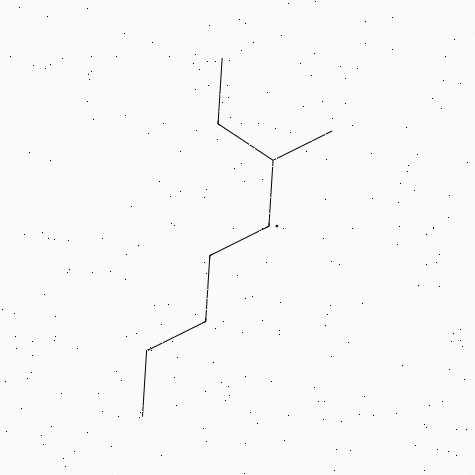 CCCC[CH]C(C)CC